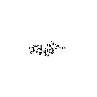 CN1CC(OCO)Cn2nc3c(c2C1=O)CN(C(=O)Nc1ccc(F)c(Cl)c1)CC3